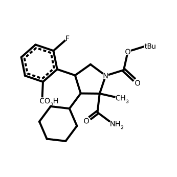 CC(C)(C)OC(=O)N1CC(c2c(F)cccc2C(=O)O)C(C2CCCCC2)C1(C)C(N)=O